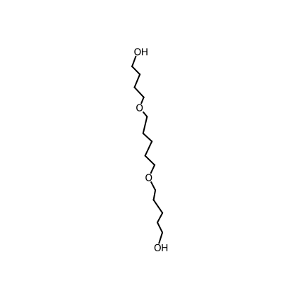 OCCCCCOCCCCCOCCCCO